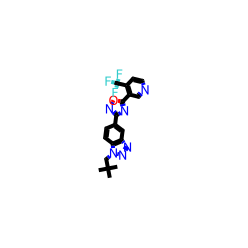 CC(C)(C)Cn1nnc2cc(-c3noc(-c4cnccc4C(F)(F)F)n3)ccc21